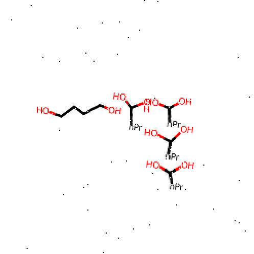 CCCC(O)O.CCCC(O)O.CCCC(O)O.CCCC(O)O.OCCCCO